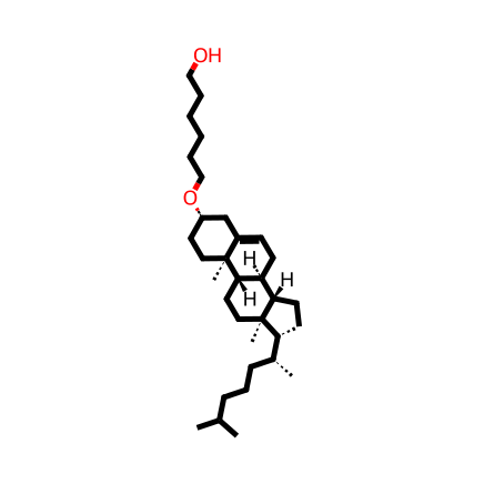 CC(C)CCC[C@@H](C)[C@H]1CC[C@H]2[C@@H]3CC=C4C[C@@H](OCCCCCCO)CC[C@]4(C)[C@H]3CC[C@]12C